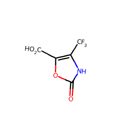 O=C(O)c1oc(=O)[nH]c1C(F)(F)F